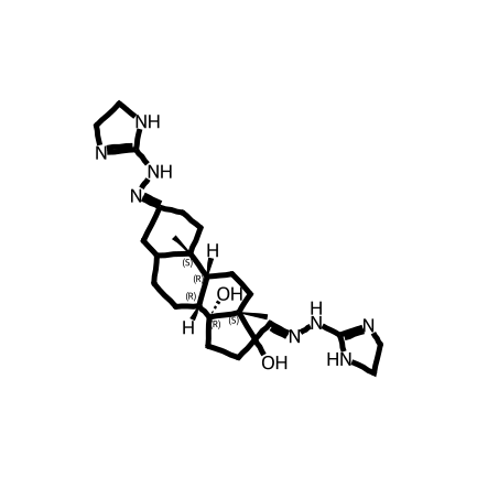 C[C@]12CCC(=NNC3=NCCN3)CC1CC[C@@H]1[C@H]2CC[C@]2(C)C(O)(C=NNC3=NCCN3)CC[C@@]12O